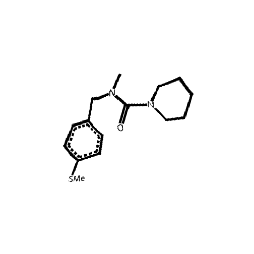 CSc1ccc(CN(C)C(=O)N2CCCCC2)cc1